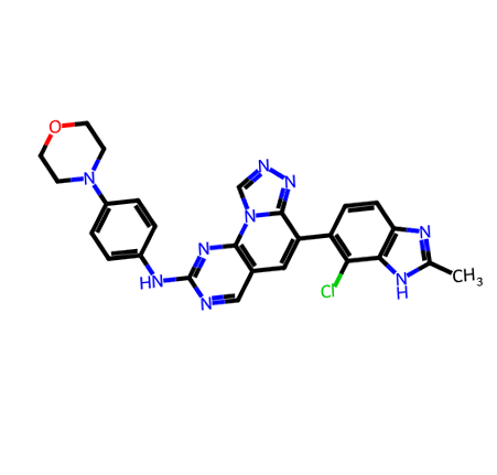 Cc1nc2ccc(-c3cc4cnc(Nc5ccc(N6CCOCC6)cc5)nc4n4cnnc34)c(Cl)c2[nH]1